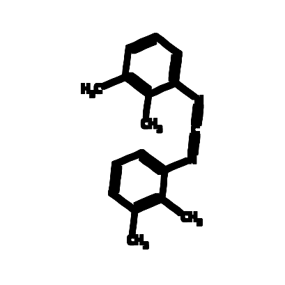 Cc1cccc(N=C=Nc2cccc(C)c2C)c1C